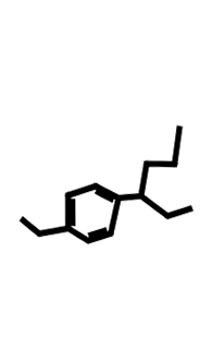 CCCC(CC)c1ccc(CC)cc1